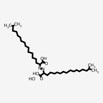 CC(C)CCCCCCCCCCCCCC(N=NC(CCCCCCCCCCCCCC(C)C)C(=O)O)C(=O)O.Cl